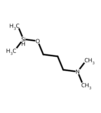 CN(C)CCCO[SiH](C)C